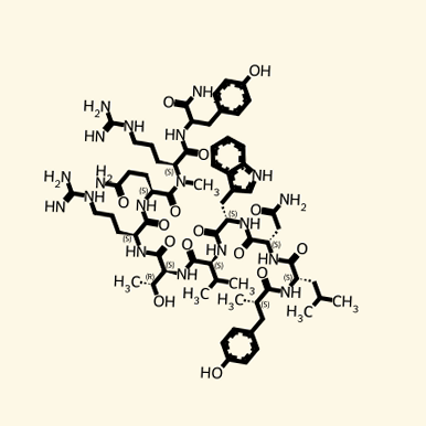 CC(C)C[C@H](NC(=O)[C@@H](C)Cc1ccc(O)cc1)C(=O)N[C@@H](CC(N)=O)C(=O)N[C@@H](Cc1c[nH]c2ccccc12)C(=O)N[C@H](C(=O)N[C@H](C(=O)N[C@@H](CCCNC(=N)N)C(=O)N[C@@H](CCC(N)=O)C(=O)N(C)[C@@H](CCCNC(=N)N)C(=O)NC(Cc1ccc(O)cc1)C(N)=O)[C@@H](C)O)C(C)C